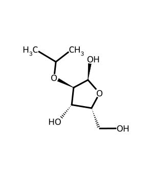 CC(C)O[C@@H]1[C@@H](O)[C@@H](CO)O[C@@H]1O